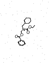 CCOC(=O)N(COC(=O)c1ccccc1)CC1CCCCC1